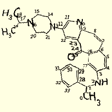 CC(Nc1ccc2ccc3ncc(N4CCN(C(C)C)CC4)cc3c(=O)c2c1)c1ccccc1